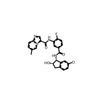 Cc1ccc2ncc(C(=O)Nc3cc(C(=O)N[C@H]4c5cc(Cl)ccc5C[C@H]4O)ccc3F)n2c1